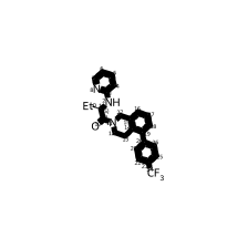 CC[C@H](Nc1ccccn1)C(=O)N1CCc2c(cccc2-c2ccc(C(F)(F)F)cc2)C1